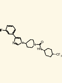 O=C(NC1CCC(C(F)(F)F)CC1)N1CCC(n2cnc(-c3cccc(F)c3)c2)CC1